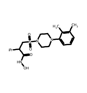 Cc1cccc(N2CCN(S(=O)(=O)CC(C(=O)NO)C(C)C)CC2)c1C